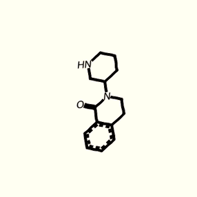 O=C1c2ccccc2CCN1C1CCCNC1